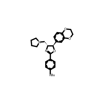 CCCCc1ccc(C2=N[C@H](CN3CCCC3)[C@@H](c3ccc4c(c3)OCCO4)O2)cc1